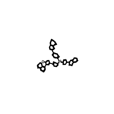 c1cc(-c2ccc3c(c2)-c2cccc4cccc(c24)O3)cc(N(c2ccc(-c3ccc4ccccc4c3)cc2)c2ccc(-c3ccc4ccccc4c3)cc2)c1